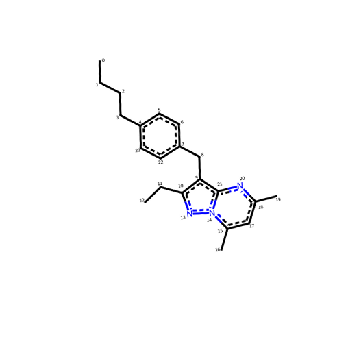 CCCCc1ccc(Cc2c(CC)nn3c(C)cc(C)nc23)cc1